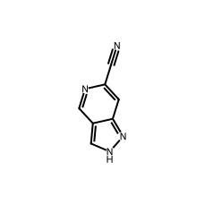 N#Cc1cc2n[nH]cc2cn1